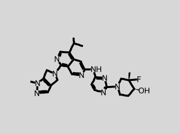 CC(C)c1cnc(N2Cc3cnn(C)c3C2)c2cnc(Nc3ccnc(N4CC[C@@H](O)[C@@](C)(F)C4)n3)cc12